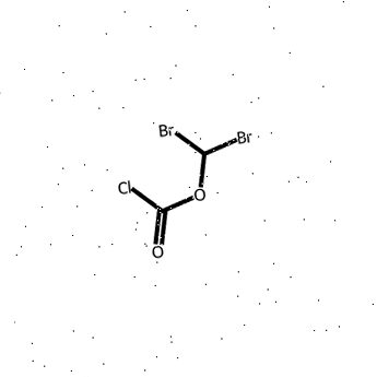 O=C(Cl)OC(Br)Br